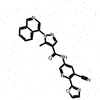 Cc1c(C(=O)Nc2cnc(-c3ncco3)c(C#N)c2)cnn1-c1cncc2ccccc12